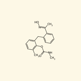 CNC(=O)Oc1c(C)cccc1Cc1ccccc1C(C)=NO